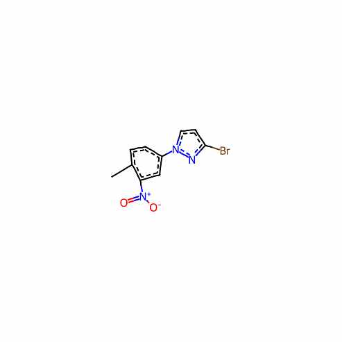 Cc1ccc(-n2ccc(Br)n2)cc1[N+](=O)[O-]